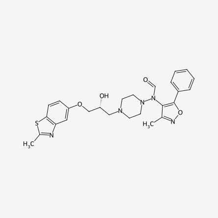 Cc1nc2cc(OC[C@H](O)CN3CCN(N(C=O)c4c(C)noc4-c4ccccc4)CC3)ccc2s1